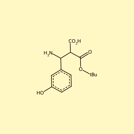 CC(C)(C)OC(=O)C(C(=O)O)C(N)c1cccc(O)c1